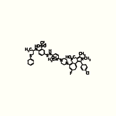 C=C(/C=C\C(=C/C)N1CCN(C2=C(F)C(c3c(C(=O)O)c(C)n(C)c3-c3ccc(Cl)cc3)=CCC(F)=C2)CC1)NSc1ccc(N[C@H](C)CSc2ccccc2)c(S(=O)(=O)C(F)(F)F)c1